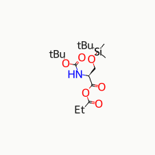 CCC(=O)OC(=O)[C@H](CO[Si](C)(C)C(C)(C)C)NC(=O)OC(C)(C)C